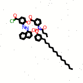 CCCCCCCCCCCCCCCc1cccc(ON(C(=O)CCC)c2cccc(C(=O)Oc3ccc(C(=O)Cl)cc3N=Nc3c(O)ccc4ccccc34)c2)c1